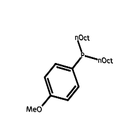 CCCCCCCCP(CCCCCCCC)c1ccc(OC)cc1